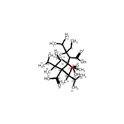 CCC(C)(C(C)C)C(C(=O)O)C(O)(C(=O)O)C(C(=O)O)(C(C)(CC)C(C)C)C(C)(CC)C(C)C